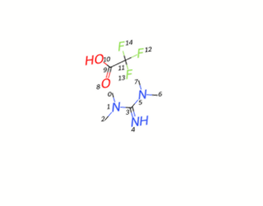 CN(C)C(=N)N(C)C.O=C(O)C(F)(F)F